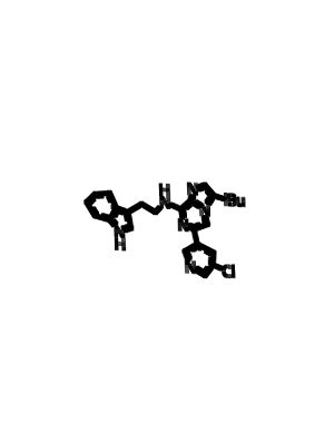 CCC(C)c1cnc2c(NCCc3c[nH]c4ccccc34)nc(-c3cncc(Cl)c3)cn12